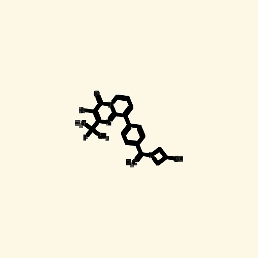 C=C(c1ccc(-c2cccn3c(=O)c(Br)c(C(C)(C)F)nc23)cc1)N1CC(O)C1